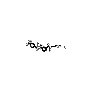 CCOCCCNC(=O)c1cccc(S(=O)(=O)NC(=O)c2ccc(C(=O)O)nc2)c1